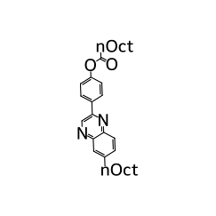 CCCCCCCCC(=O)Oc1ccc(-c2cnc3cc(CCCCCCCC)ccc3n2)cc1